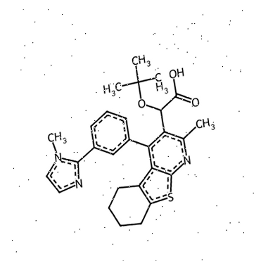 Cc1nc2sc3c(c2c(-c2cccc(-c4nccn4C)c2)c1C(OC(C)(C)C)C(=O)O)CCCC3